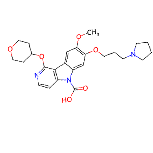 COc1cc2c3c(OC4CCOCC4)nccc3n(C(=O)O)c2cc1OCCCN1CCCC1